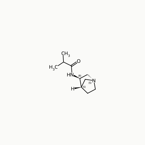 CC(C)C(=O)N[C@H]1C[N@]2CC[C@H]1C2